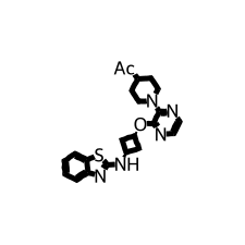 CC(=O)C1CCN(c2nccnc2O[C@H]2C[C@H](Nc3nc4ccccc4s3)C2)CC1